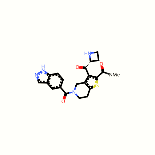 CNC(=O)c1sc2c(c1C(=O)[C@H]1CCN1)CN(C(=O)c1ccc3[nH]ncc3c1)CC2